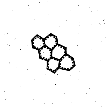 c1cc2ccc3cc4cccc5ccc6cc(c1)c2c3c6c54